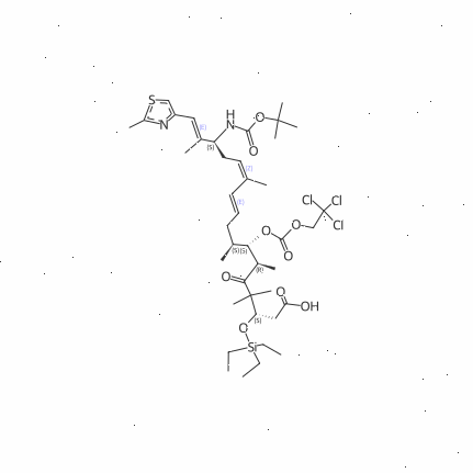 CC[Si](CC)(CC)O[C@@H](CC(=O)O)C(C)(C)C(=O)[C@H](C)[C@@H](OC(=O)OCC(Cl)(Cl)Cl)[C@@H](C)C/C=C/C(C)=C\C[C@H](NC(=O)OC(C)(C)C)/C(C)=C/c1csc(C)n1